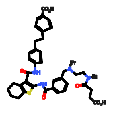 CCN(CCN(Cc1cccc(C(=O)Nc2sc3c(c2C(=O)Nc2ccc(CCc4ccc(C(=O)O)cc4)cc2)CCCC3)c1)C(C)C)C(=O)CCC(=O)O